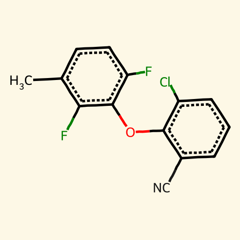 Cc1ccc(F)c(Oc2c(Cl)cccc2C#N)c1F